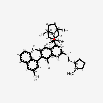 CN1CCC[C@H]1COc1nc(N2C[C@H]3CC[C@@H](C2)N3C(=O)O)c2cc(Cl)c(-c3cc(O)cc4ccccc34)c(F)c2n1